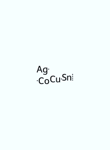 [Ag].[Co].[Cu].[Sn]